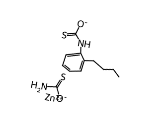 CCCCc1ccccc1NC([O-])=S.NC([O-])=S.[Zn+2]